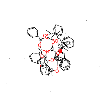 CCC1(C)CC(C)(C)[Si](C)(C)O[Si]2(c3ccccc3)O[Si]3(c4ccccc4)O[Si]4(c5ccccc5)O[Si](c5ccccc5)(O[Si]5(c6ccccc6)O[Si](c6ccccc6)(O2)O[Si](c2ccccc2)(O3)O[Si](C)(C)C(C)(CC)C(C)(C)[Si](C)(C)O[Si](c2ccccc2)(O4)O5)O[Si]1(C)C